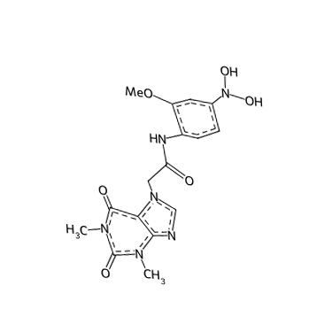 COc1cc(N(O)O)ccc1NC(=O)Cn1cnc2c1c(=O)n(C)c(=O)n2C